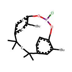 CC(C)(C)c1cc2ccc1OP(Cl)Oc1ccc(cc1C(C)(C)C)C(C)(C)CC2(C)C